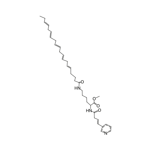 CCC=CCC=CCC=CCC=CCC=CCCCC(=O)NCCCCC(NC(=O)CC=Cc1cccnc1)C(=O)OC